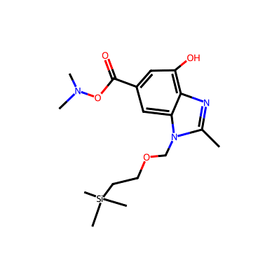 Cc1nc2c(O)cc(C(=O)ON(C)C)cc2n1COCC[Si](C)(C)C